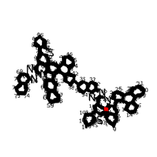 c1ccc2cc3c(cc2c1)c1c2c4ccccc4c4ccccc4c2ccc1n3-c1nc2ccc3cc(-c4ccc5c(c4)c4ccccc4c4ccc6c(c7cc8ccccc8cc7n6-c6nc7c(ccc8ccccc87)nc6-c6ccc7sc8ccccc8c7c6)c45)ccc3c2nc1-c1ccc2sc3ccccc3c2c1